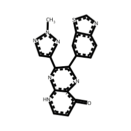 Cn1ncc(-c2nc3[nH]ccc(=O)c3nc2-c2ccc3ncsc3c2)n1